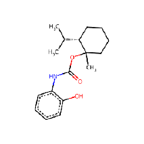 CC(C)[C@@H]1CCCCC1(C)OC(=O)Nc1ccccc1O